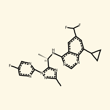 Cc1nc([C@H](C)Nc2ncnc3c(C4CC4)cc(C(F)F)cc23)n(-c2ncc(F)cn2)n1